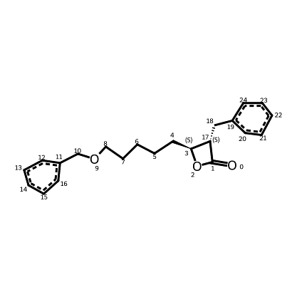 O=C1O[C@@H](CCCCCOCc2ccccc2)[C@@H]1Cc1ccccc1